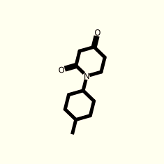 CC1CCC(N2CCC(=O)CC2=O)CC1